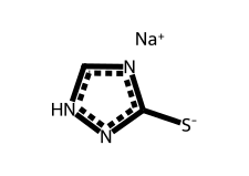 [Na+].[S-]c1nc[nH]n1